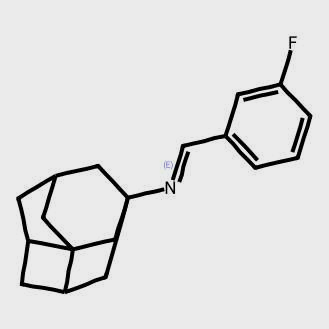 Fc1cccc(/C=N/C23CC4CC5CC(C2)C5(C4)C3)c1